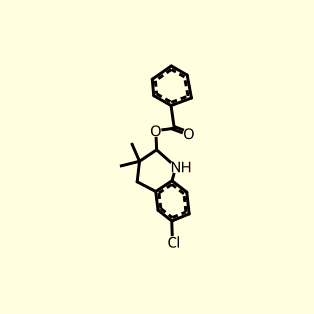 CC1(C)Cc2cc(Cl)ccc2NC1OC(=O)c1ccccc1